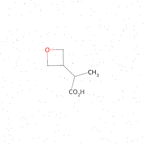 CC(C(=O)O)C1COC1